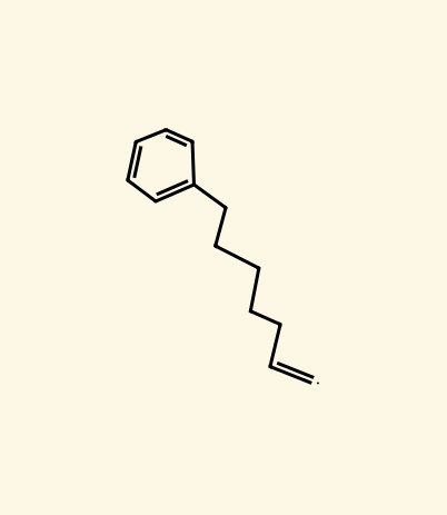 [CH]=CCCCCCc1ccccc1